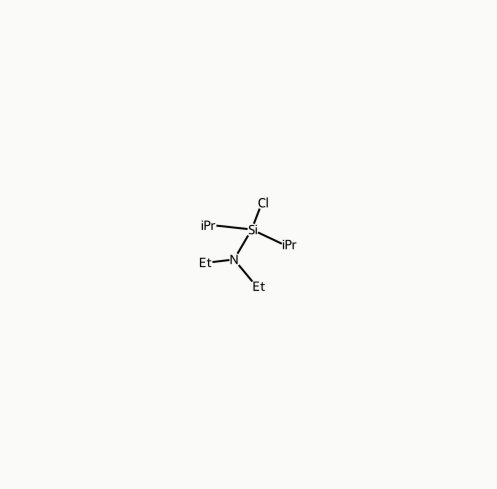 CCN(CC)[Si](Cl)(C(C)C)C(C)C